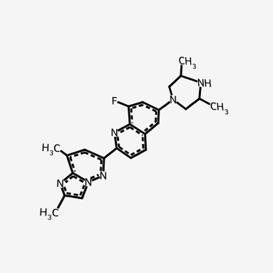 Cc1cn2nc(-c3ccc4cc(N5CC(C)NC(C)C5)cc(F)c4n3)cc(C)c2n1